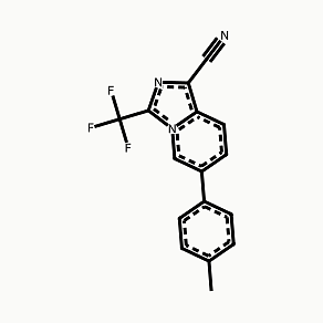 Cc1ccc(-c2ccc3c(C#N)nc(C(F)(F)F)n3c2)cc1